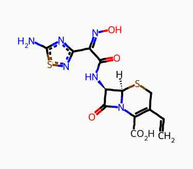 C=CC1=C(C(=O)O)N2C(=O)[C@@H](NC(=O)/C(=N\O)c3nsc(N)n3)[C@H]2SC1